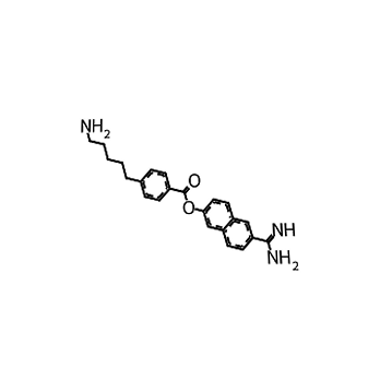 N=C(N)c1ccc2cc(OC(=O)c3ccc(CCCCCN)cc3)ccc2c1